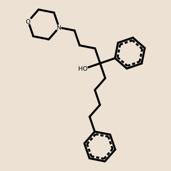 OC(CCCCc1ccccc1)(CCCN1CCOCC1)c1ccccc1